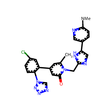 CNc1ccc(-c2cnc(Cn3c(C)cc(-c4cc(Cl)ccc4-n4cnnn4)cc3=O)[nH]2)cn1